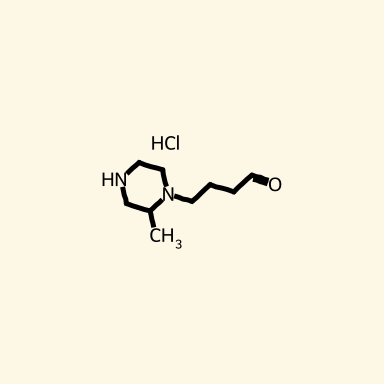 CC1CNCCN1CCCC=O.Cl